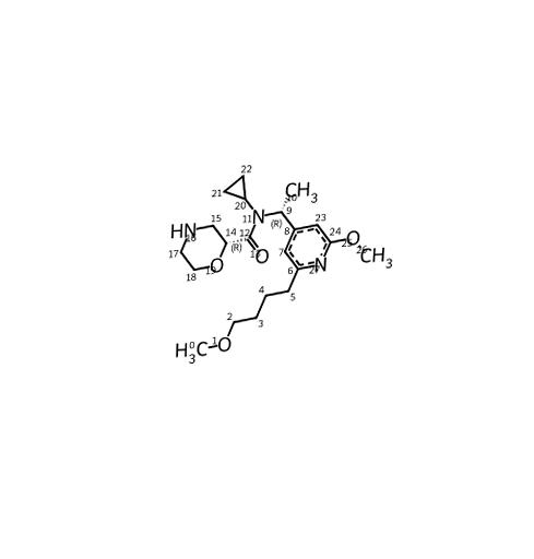 COCCCCc1cc([C@@H](C)N(C(=O)[C@H]2CNCCO2)C2CC2)cc(OC)n1